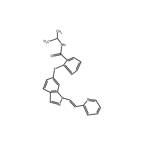 CC(C)NC(=O)c1ccccc1Sc1ccc2cnn(C=Cc3ccccn3)c2c1